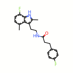 Cc1[nH]c2c(F)ccc(C)c2c1CCNC(=O)CCc1ccc(F)cc1